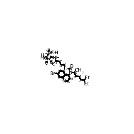 CCC(CC)CCCC(C)N(C(=O)OCCCC(=O)NC(P(=O)(O)O)P(=O)(O)O)c1ccnc2cc(Br)ccc12